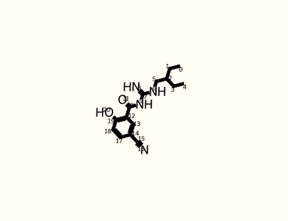 CCC(CC)CNC(=N)NC(=O)c1cc(C#N)ccc1O